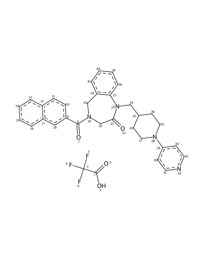 O=C(O)C(F)(F)F.O=C(c1ccc2ccccc2c1)N1CC(=O)N(CC2CCN(c3ccncc3)CC2)c2ccccc2C1